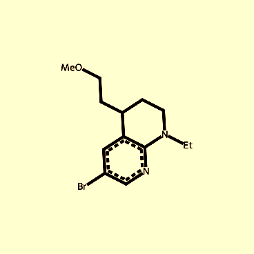 CCN1CCC(CCOC)c2cc(Br)cnc21